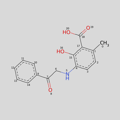 Cc1ccc(NCC(=O)c2ccccc2)c(O)c1C(=O)O